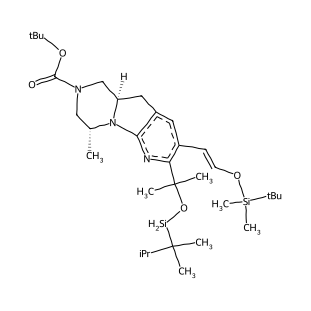 CC(C)C(C)(C)[SiH2]OC(C)(C)c1nc2c(cc1C=CO[Si](C)(C)C(C)(C)C)C[C@@H]1CN(C(=O)OC(C)(C)C)C[C@@H](C)N21